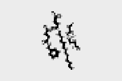 CCCCCCCCCCCCOC(=O)C=CC(=O)[O-].CCC[CH2][Sn+2][CH2]CCC.O=C([O-])C=CC(=O)OCc1ccccc1